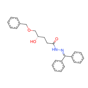 O=C(CC[C@H](O)COCc1ccccc1)NN=C(c1ccccc1)c1ccccc1